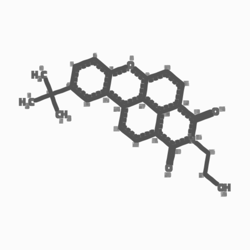 CC(C)(C)c1ccc2oc3ccc4c(=O)n(CCO)c(=O)c5ccc(c2c1)c3c45